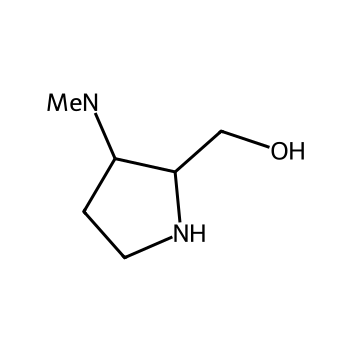 CNC1CCNC1CO